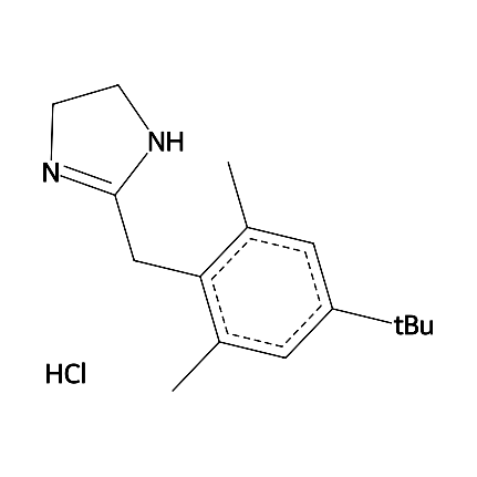 Cc1cc(C(C)(C)C)cc(C)c1CC1=NCCN1.Cl